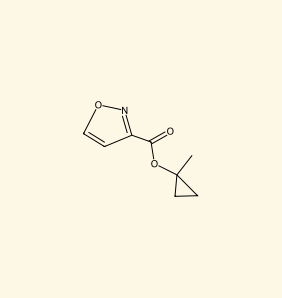 CC1(OC(=O)c2ccon2)CC1